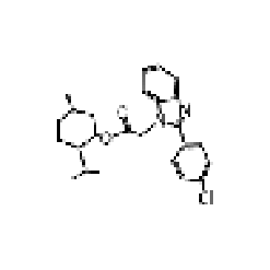 CC(C)C1CC[C@@H](C)C[C@H]1OC(=O)Cn1c(-c2ccc(Cl)cc2)nc2ccccc21